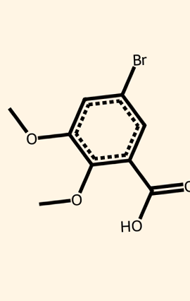 COc1cc(Br)cc(C(=O)O)c1OC